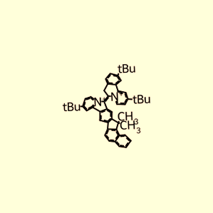 CC(C)(C)c1ccc2c(c1)-c1cc(C(C)(C)C)cc[n+]1/C(=C1\c3cc4c(cc3-c3cc(C(C)(C)C)cc[n+]31)-c1ccc3ccccc3c1C4(C)C)C2